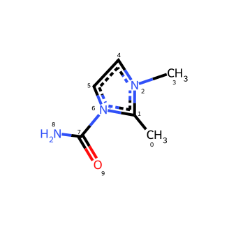 Cc1n(C)cc[n+]1C(N)=O